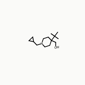 CC(C)(C)C1(CO)CCN(CC2CC2)CC1